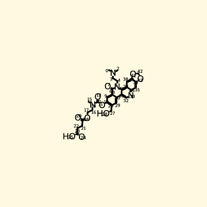 CN(C)CCn1c(=O)c2cc(OC(=O)N(C)CCOC(=O)CCC(=O)O)c(CO)cc2c2cnc3cc4c(cc3c21)OCO4